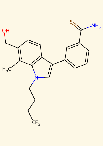 Cc1c(CO)ccc2c(-c3cccc(C(N)=S)c3)cn(CCCC(F)(F)F)c12